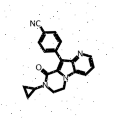 N#Cc1ccc(-c2c3n(c4cccnc24)CCN(C2CC2)C3=O)cc1